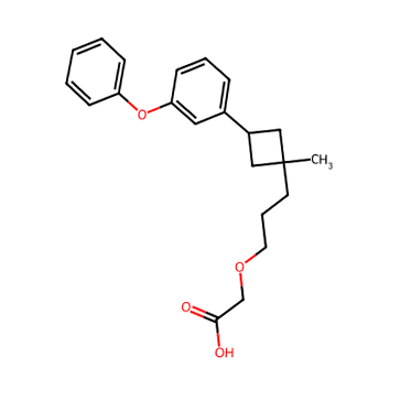 CC1(CCCOCC(=O)O)CC(c2cccc(Oc3ccccc3)c2)C1